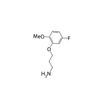 COc1ccc(F)cc1OCCCN